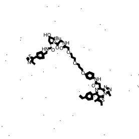 C=Cc1ccc(C2=NC(CC(=O)Nc3ccc(OCCCOCCCOCC(=O)NC(C(=O)N4C[C@H](O)C[C@H]4C(=O)NCc4ccc(-c5scnc5C)cc4)C(C)(C)C)cc3)c3nnc(C)n3-c3sc(C)c(C)c32)cc1